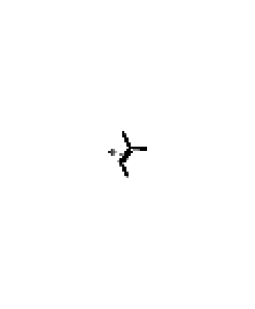 CC=C(C)C.N